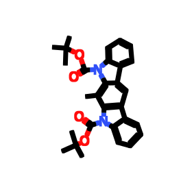 Cc1c2c(cc3c4ccccc4n(C(=O)OC(C)(C)C)c13)c1ccccc1n2C(=O)OC(C)(C)C